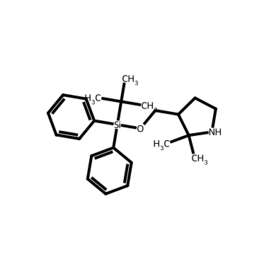 CC1(C)NCCC1CO[Si](c1ccccc1)(c1ccccc1)C(C)(C)C